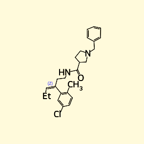 CC/C=C(/CCNC(=O)C1CCN(Cc2ccccc2)C1)c1cc(Cl)ccc1C